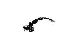 CC(C)CCCCCCCN1CCN(c2ccc(-c3ccc4c(c3)C(=O)N(C(C(=O)Nc3nccs3)c3cc(F)ccc3O)C4)cc2)CC1